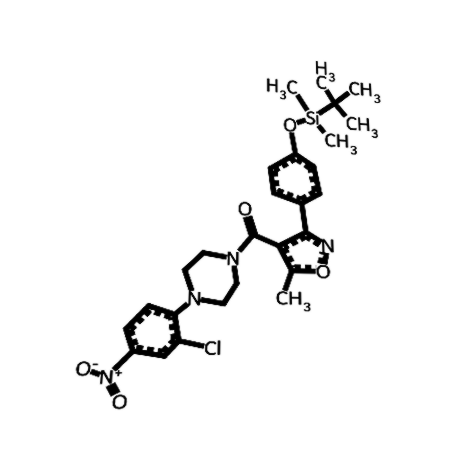 Cc1onc(-c2ccc(O[Si](C)(C)C(C)(C)C)cc2)c1C(=O)N1CCN(c2ccc([N+](=O)[O-])cc2Cl)CC1